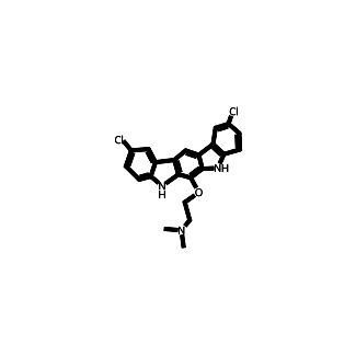 CN(C)CCOc1c2[nH]c3ccc(Cl)cc3c2cc2c1[nH]c1ccc(Cl)cc12